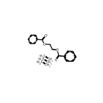 C=C.C=C.C=C.O=C(OCCOC(=O)c1ccccc1)c1ccccc1